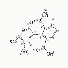 Cc1ccc(C(=O)O)c(-c2cnc(Cl)c(N)c2)c1C(=O)O